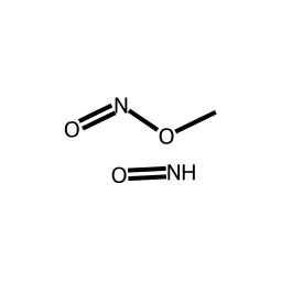 CON=O.N=O